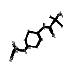 CC(C)(N)C(=O)NC1CCC(O[N+](=O)[O-])CC1